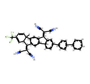 CC12C=CC(C(F)(F)F)=CC1C(=C(C#N)C#N)c1cc3c(cc12)C(=C(C#N)C#N)c1cc(-c2ccc(-c4ccccc4)cc2)ccc1-3